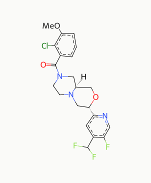 COc1cccc(C(=O)N2CCN3C[C@@H](c4cc(C(F)F)c(F)cn4)OC[C@@H]3C2)c1Cl